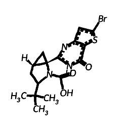 CC(C)(C)C1C[C@@H]2C[C@]2(c2nc3cc(Br)sc3c(=O)[nH]2)N1C(=O)O